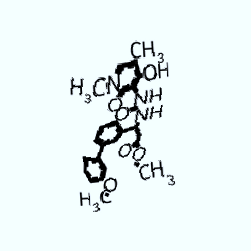 CCOC(=O)CC(NC(=O)Nc1c(O)c(C)cn(C)c1=O)c1cccc(-c2cccc(OC)c2)c1